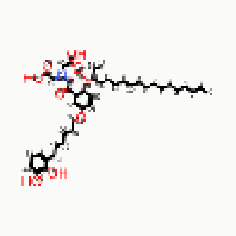 CCCCCCCCCCCCCCCC(CC)Oc1ccc(OCCCCCCc2cccc(O)c2O)cc1C(=O)C(=O)N(CC(=O)O)CC(=O)O